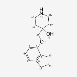 OC1(COc2cccc3c2CCC3)CCNCC1